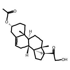 CC(=O)O[C@@H]1CC[C@@]2(C)C(=CC[C@H]3[C@@H]4CC[C@H](C(=O)CO)[C@@]4(C)CC[C@@H]32)C1